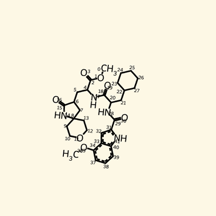 COC(=O)C(CC1CC2(CCOCC2)NC1=O)NC(=O)C(CC1CCCCC1)NC(=O)c1cc2c(OC)cccc2[nH]1